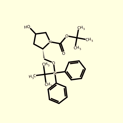 CC(C)(C)OC(=O)N1CC(O)C[C@H]1CO[Si](c1ccccc1)(c1ccccc1)C(C)(C)C